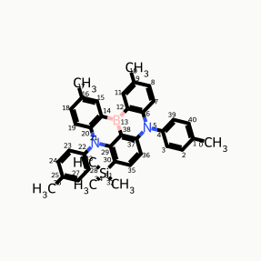 Cc1ccc(N2c3ccc(C)cc3B3c4cc(C)ccc4N(c4ccc(C)cc4)c4c([Si](C)(C)C)ccc2c43)cc1